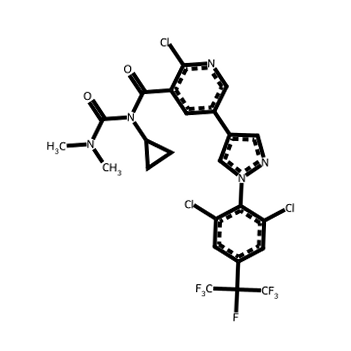 CN(C)C(=O)N(C(=O)c1cc(-c2cnn(-c3c(Cl)cc(C(F)(C(F)(F)F)C(F)(F)F)cc3Cl)c2)cnc1Cl)C1CC1